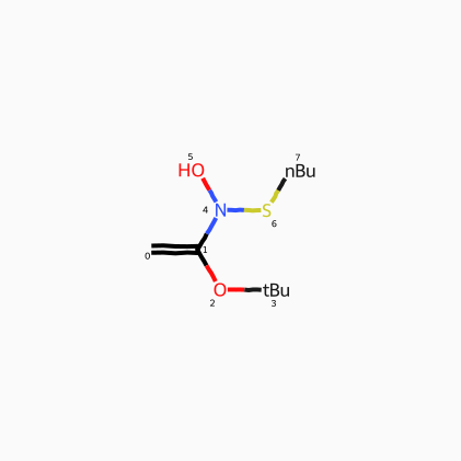 C=C(OC(C)(C)C)N(O)SCCCC